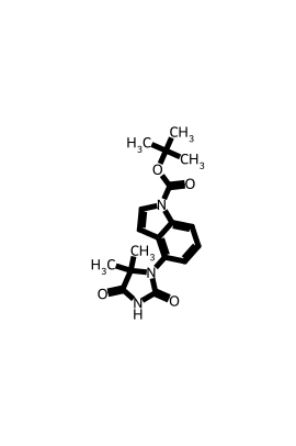 CC(C)(C)OC(=O)n1ccc2c(N3C(=O)NC(=O)C3(C)C)cccc21